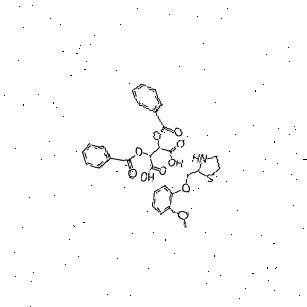 COc1ccccc1OCC1NCCS1.O=C(OC(C(=O)O)C(OC(=O)c1ccccc1)C(=O)O)c1ccccc1